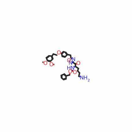 COc1ccc(CCOc2ccc(Cc3nc(C(=O)C(CCCCN)NC(=O)OCc4ccccc4)no3)cc2)cc1OC